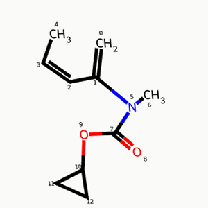 C=C(/C=C\C)N(C)C(=O)OC1CC1